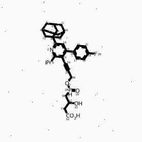 CC(C)c1nc(C23CC4CC(CC(C4)C2)C3)cc(-c2ccc(F)cc2)c1C#CCO[PH](=O)CC(O)CC(=O)O